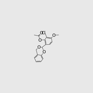 COc1ccc(C2OCc3ccccc3O2)c(OC(C)=O)c1Cl